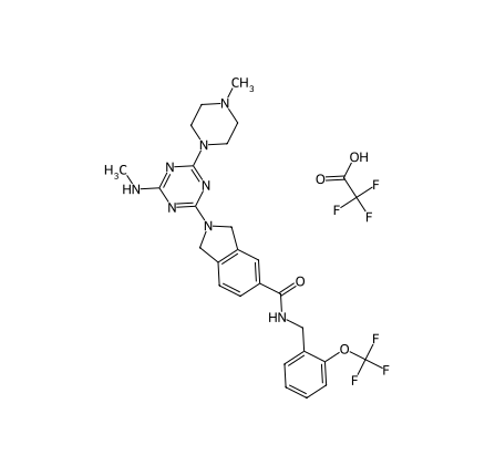 CNc1nc(N2CCN(C)CC2)nc(N2Cc3ccc(C(=O)NCc4ccccc4OC(F)(F)F)cc3C2)n1.O=C(O)C(F)(F)F